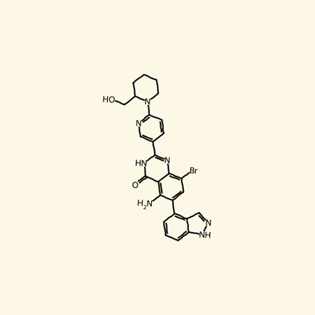 Nc1c(-c2cccc3[nH]ncc23)cc(Br)c2nc(-c3ccc(N4CCCCC4CO)nc3)[nH]c(=O)c12